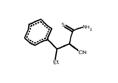 CCC(c1ccccc1)C(C#N)C(N)=S